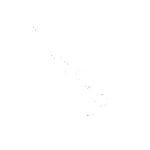 CC(Oc1ccccc1-c1c(C2CCCCC2)c2ccc(C(=O)NS(=O)(=O)N(C)CCCCN)cc2n1C)C(=O)O